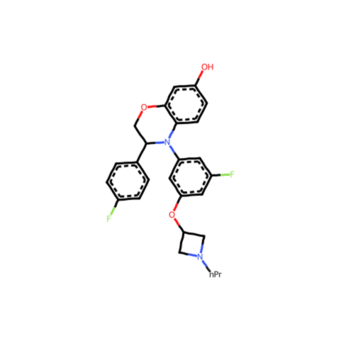 CCCN1CC(Oc2cc(F)cc(N3c4ccc(O)cc4OCC3c3ccc(F)cc3)c2)C1